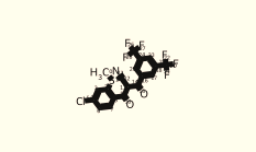 CSc1cc(Cl)ccc1C(=O)C(C#N)C(=O)c1cc(C(F)(F)F)cc(C(F)(F)F)c1